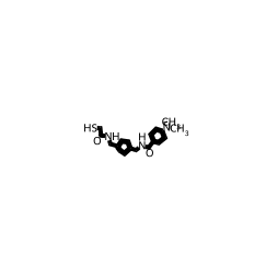 CN(C)c1ccc(C(=O)NCc2ccc(CNC(=O)CS)cc2)cc1